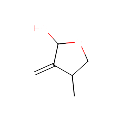 C=C1C(C)COC1O